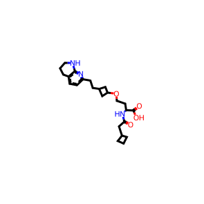 O=C(CC1CCC1)NC(CCOC1CC(CCc2ccc3c(n2)NCCC3)C1)C(=O)O